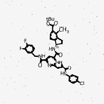 Cc1c(C(=O)OC(C)(C)C)ccc2c1CC[C@@H]2NC(=O)c1cc(C(=O)NCc2ccc(F)c(F)c2)nc2cc(C(=O)Nc3ccc(Cl)cc3)nn12